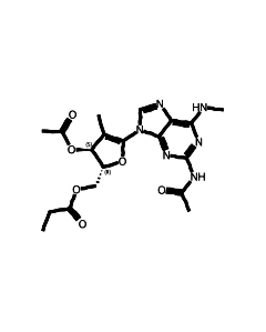 CCC(=O)OC[C@H]1OC(n2cnc3c(NC)nc(NC(C)=O)nc32)=C(C)[C@@H]1OC(C)=O